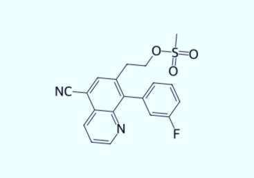 CS(=O)(=O)OCCc1cc(C#N)c2cccnc2c1-c1cccc(F)c1